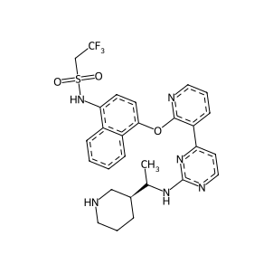 CC(Nc1nccc(-c2cccnc2Oc2ccc(NS(=O)(=O)CC(F)(F)F)c3ccccc23)n1)[C@H]1CCCNC1